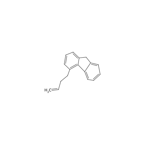 C=CCCc1cccc2c1-c1ccccc1C2